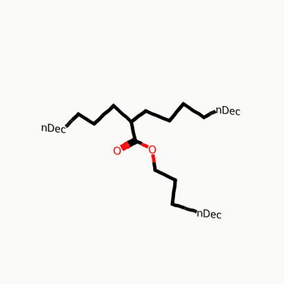 CCCCCCCCCCCCCCC(CCCCCCCCCCCCC)C(=O)OCCCCCCCCCCCCC